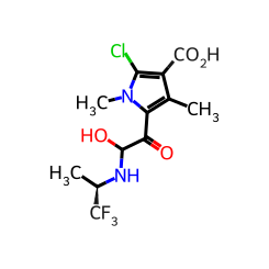 Cc1c(C(=O)O)c(Cl)n(C)c1C(=O)C(O)N[C@H](C)C(F)(F)F